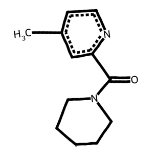 Cc1ccnc(C(=O)N2CC[CH]CC2)c1